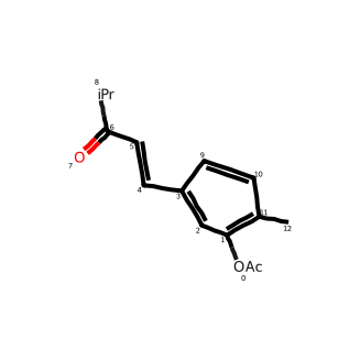 CC(=O)Oc1cc(/C=C/C(=O)C(C)C)ccc1C